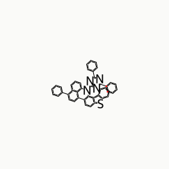 c1ccc(-c2nc(-c3ccccc3)nc(N3c4cccc5c(-c6ccccc6)ccc(c45)-c4ccc5sc6ccccc6c5c43)n2)cc1